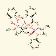 CC(C)=C(OC(=O)c1ccccc1C(=O)OC(=C(C)C)P(=O)(OC=O)Oc1ccccc1)P(=O)(OC=O)Oc1ccccc1